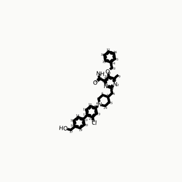 Cc1nc(CC2CCN(c3ccc(-c4ccc(CO)cc4)c(Cl)c3)CC2)nc(C(N)=O)c1OCc1ccccc1